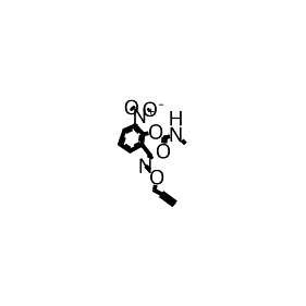 C#CCON=Cc1cccc([N+](=O)[O-])c1OC(=O)NC